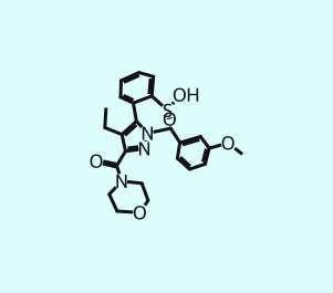 CCc1c(C(=O)N2CCOCC2)nn(Cc2cccc(OC)c2)c1-c1ccccc1S(=O)O